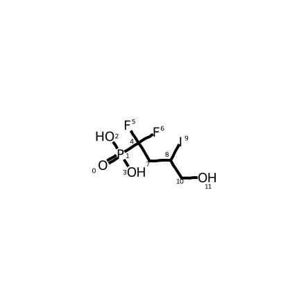 O=P(O)(O)C(F)(F)CC(I)CO